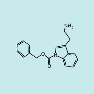 NCCc1cn(C(=O)OCc2ccccc2)c2ccccc12